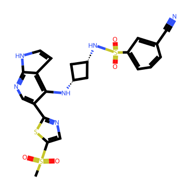 CS(=O)(=O)c1cnc(-c2cnc3[nH]ccc3c2N[C@H]2C[C@@H](NS(=O)(=O)c3cccc(C#N)c3)C2)s1